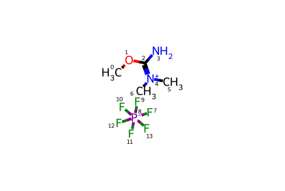 COC(N)=[N+](C)C.F[P-](F)(F)(F)(F)F